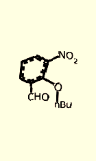 CCCCOc1c(C=O)cccc1[N+](=O)[O-]